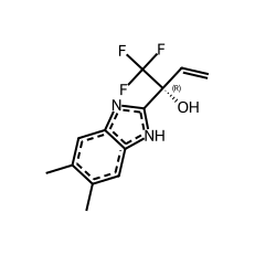 C=C[C@@](O)(c1nc2cc(C)c(C)cc2[nH]1)C(F)(F)F